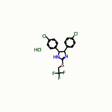 Cl.FC(F)(F)CSC1=NC(c2ccc(Cl)cc2)C(c2ccc(Cl)cc2)N1